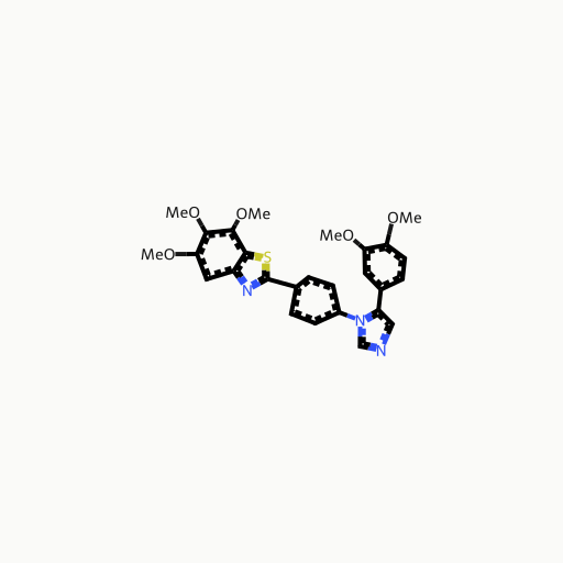 COc1ccc(-c2cncn2-c2ccc(-c3nc4cc(OC)c(OC)c(OC)c4s3)cc2)cc1OC